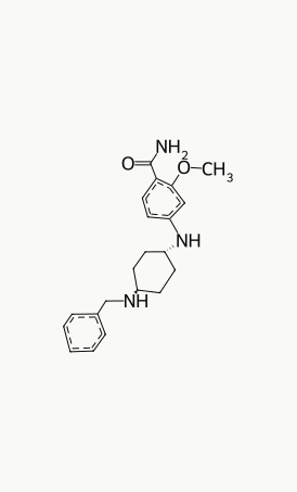 COc1cc(N[C@H]2CC[C@H](NCc3ccccc3)CC2)ccc1C(N)=O